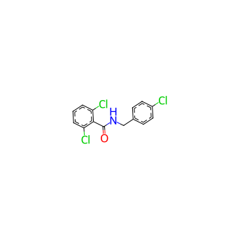 O=C(NCc1ccc(Cl)cc1)c1c(Cl)cccc1Cl